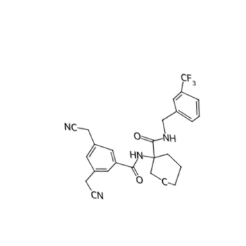 N#CCc1cc(CC#N)cc(C(=O)NC2(C(=O)NCc3cccc(C(F)(F)F)c3)CCCCC2)c1